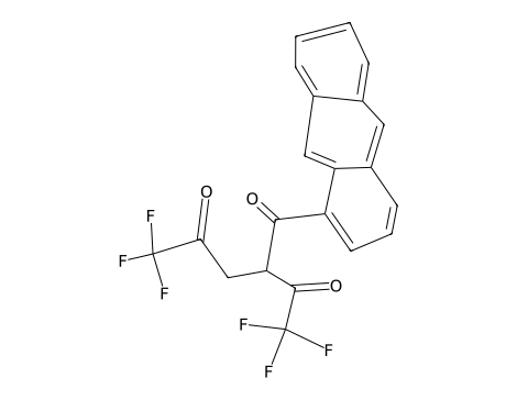 O=C(c1cccc2cc3ccccc3cc12)C(CC(=O)C(F)(F)F)C(=O)C(F)(F)F